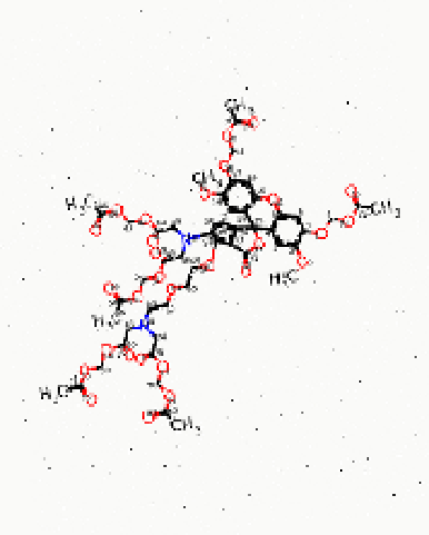 COc1cc2c(cc1OCOC(C)=O)Oc1cc(OCOC(C)=O)c(OC)cc1C21OC(=O)c2c1ccc(N(CC(=O)OCOC(C)=O)CC(=O)OCOC(C)=O)c2OCCOCCN(CC(=O)OCOC(C)=O)CC(=O)OCOC(C)=O